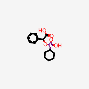 O=C(O)C(OP(=O)(O)C1CCCCC1)c1ccccc1